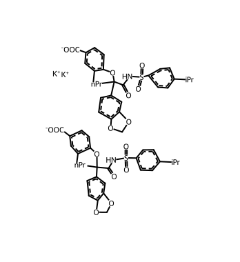 CCCc1cc(C(=O)[O-])ccc1OC(C)(C(=O)NS(=O)(=O)c1ccc(C(C)C)cc1)c1ccc2c(c1)OCO2.CCCc1cc(C(=O)[O-])ccc1OC(C)(C(=O)NS(=O)(=O)c1ccc(C(C)C)cc1)c1ccc2c(c1)OCO2.[K+].[K+]